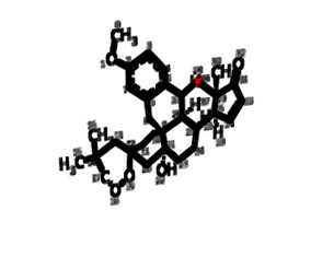 COc1ccc2c(c1)C[C@]13CCC4(CC(C)(C)COO4)C[C@]1(O)CC[C@@H]1[C@@H]3[C@@H]2C[C@]2(C)C(=O)C=C[C@@H]12